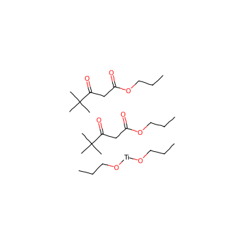 CCCOC(=O)CC(=O)C(C)(C)C.CCCOC(=O)CC(=O)C(C)(C)C.CCC[O][Ti][O]CCC